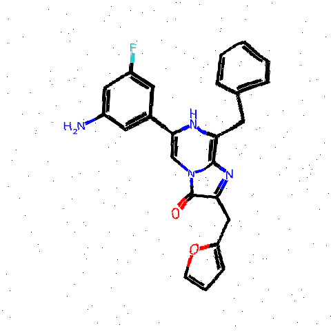 Nc1cc(F)cc(-c2cn3c(=O)c(Cc4ccco4)nc-3c(Cc3ccccc3)[nH]2)c1